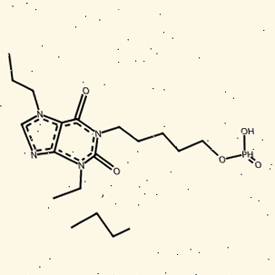 CCCC.CCCn1cnc2c1c(=O)n(CCCCCO[PH](=O)O)c(=O)n2CC